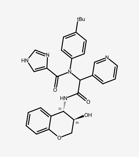 CC(C)(C)c1ccc(N(C(=O)c2c[nH]cn2)C(C(=O)N[C@H]2c3ccccc3OC[C@@H]2O)c2cccnc2)cc1